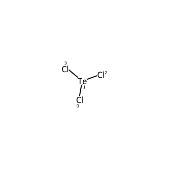 Cl[Te](Cl)Cl